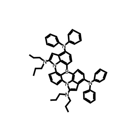 CCCN(CCC)c1cc2c(N(c3ccccc3)c3ccccc3)ccc3c2n1-c1cccc2c1B3c1ccc(N(c3ccccc3)c3ccccc3)c3cc(N(CCC)CCC)n-2c13